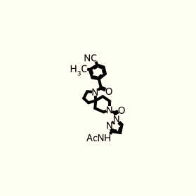 CC(=O)Nc1ccn(C(=O)N2CCC3(CCCN3C(=O)c3ccc(C#N)c(C)c3)CC2)n1